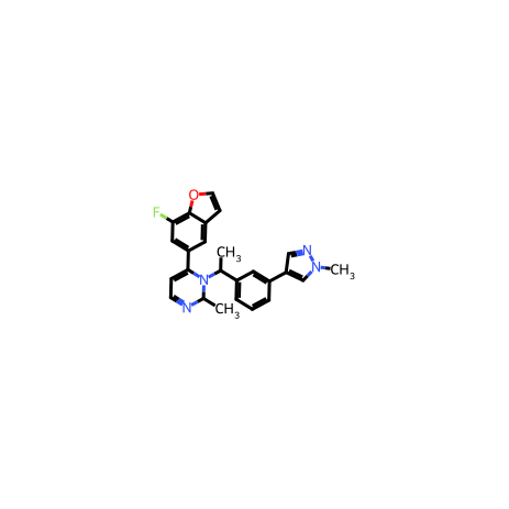 CC1N=CC=C(c2cc(F)c3occc3c2)N1C(C)c1cccc(-c2cnn(C)c2)c1